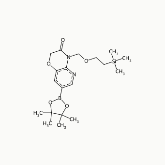 CC1(C)OB(c2cnc3c(c2)OCC(=O)N3COCC[Si](C)(C)C)OC1(C)C